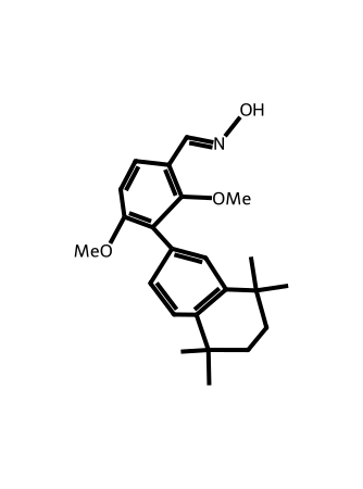 COc1ccc(C=NO)c(OC)c1-c1ccc2c(c1)C(C)(C)CCC2(C)C